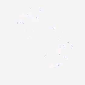 C[C@H](NC(=O)[C@H](NC(=O)C1CC1)c1ccccc1)c1ncc(C2CCN(c3c(F)cc(-c4cnc([C@@H]5CCCN5C(=O)[C@H](NC(=O)C5CC5)c5ccccc5)[nH]4)cc3F)CC2)[nH]1